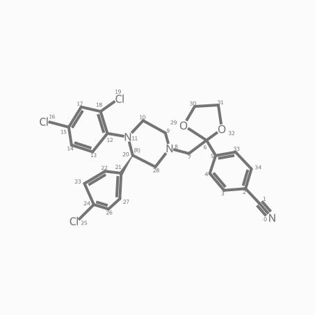 N#Cc1ccc(C2(CN3CCN(c4ccc(Cl)cc4Cl)[C@H](c4ccc(Cl)cc4)C3)OCCO2)cc1